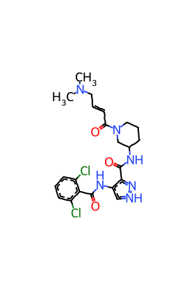 CN(C)C/C=C/C(=O)N1CCCC(NC(=O)c2n[nH]cc2NC(=O)c2c(Cl)cccc2Cl)C1